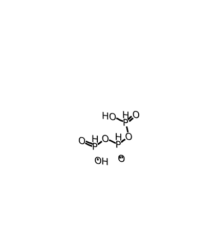 O=[PH](O)O[PH](=O)O[PH](=O)O